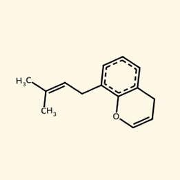 CC(C)=CCc1cccc2c1OC=CC2